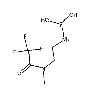 CN(CCNP(O)O)C(=O)C(F)(F)F